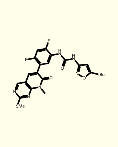 CSc1ncc2cc(-c3cc(NC(=O)Nc4cc(C(C)(C)C)on4)c(F)cc3F)c(=O)n(C)c2n1